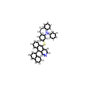 c1ccc(N2c3ccccc3CCc3ccc(Sc4c5ccccc5c(-c5cccc6ccccc56)c5cnccc45)cc32)cc1